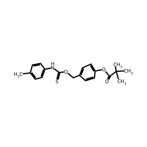 Cc1ccc(NC(=S)OCc2ccc(OC(=O)C(C)(C)C)cc2)cc1